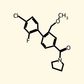 COCc1cc(C(=O)N2CCCC2)ccc1-c1ccc(Cl)cc1F